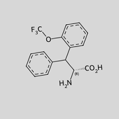 N[C@@H](C(=O)O)C(c1ccccc1)c1ccccc1OC(F)(F)F